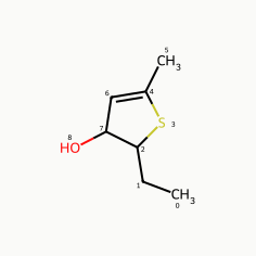 CCC1SC(C)=CC1O